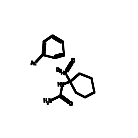 CC(=O)c1ccccc1.NC(=O)NC1([SH](=O)=O)CCCCC1